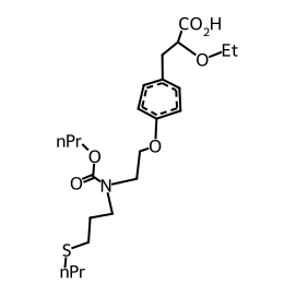 CCCOC(=O)N(CCCSCCC)CCOc1ccc(CC(OCC)C(=O)O)cc1